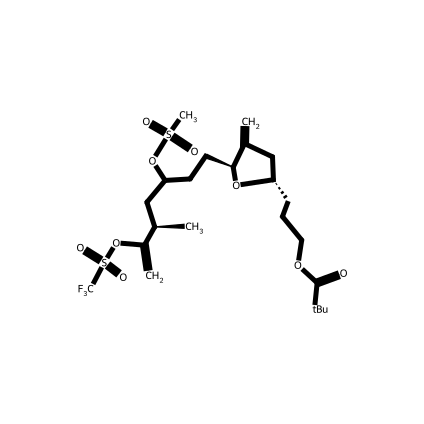 C=C(OS(=O)(=O)C(F)(F)F)[C@H](C)CC(CC[C@@H]1O[C@@H](CCCOC(=O)C(C)(C)C)CC1=C)OS(C)(=O)=O